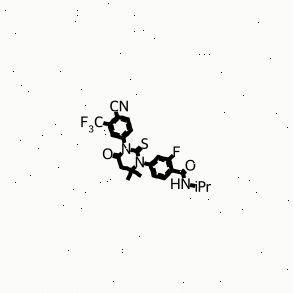 CC(C)NC(=O)c1ccc(N2C(=S)N(c3ccc(C#N)c(C(F)(F)F)c3)C(=O)CC2(C)C)cc1F